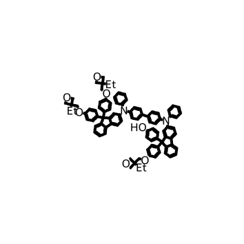 CCC1(COc2ccc(C3(c4ccc(O)cc4)c4ccccc4-c4ccc(N(c5ccccc5)c5ccc(-c6ccc(N(c7ccccc7)c7ccc8c(c7)C(c7ccc(OCC9(CC)COC9)cc7)(c7ccc(OCC9(CC)COC9)cc7)c7ccccc7-8)cc6)cc5)cc43)cc2)COC1